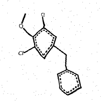 COc1c(Cl)cc(Cc2ccccc2)cc1Cl